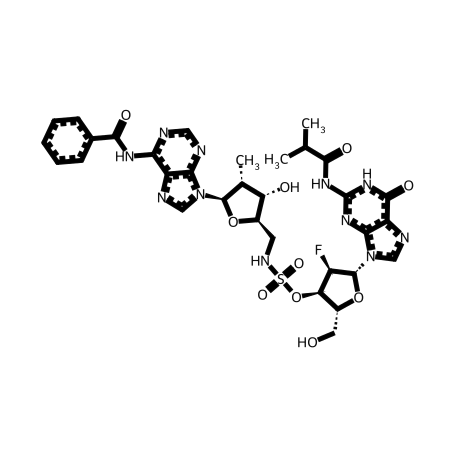 CC(C)C(=O)Nc1nc2c(ncn2[C@@H]2O[C@H](CO)[C@@H](OS(=O)(=O)NC[C@H]3O[C@@H](n4cnc5c(NC(=O)c6ccccc6)ncnc54)[C@H](C)[C@@H]3O)[C@H]2F)c(=O)[nH]1